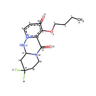 CCCCOc1c2n(ccc1=O)NC1CC(F)(F)CCN1C2=O